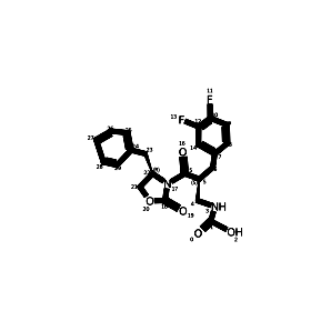 O=C(O)NC[C@H](Cc1ccc(F)c(F)c1)C(=O)N1C(=O)OC[C@H]1Cc1ccccc1